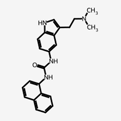 CN(C)CCc1c[nH]c2ccc(NC(=O)Nc3cccc4ccccc34)cc12